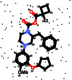 CCC1(C(=O)OC(=O)N2CCN(c3ccc(OC)c(OC4CCCC4)c3)CC2Cc2ccccc2)CCC1